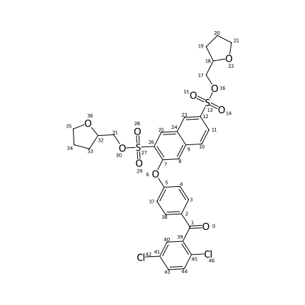 O=C(c1ccc(Oc2cc3ccc(S(=O)(=O)OCC4CCCO4)cc3cc2S(=O)(=O)OCC2CCCO2)cc1)c1cc(Cl)ccc1Cl